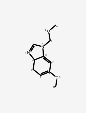 COCN1C=NC2CC=C(OC)C=C21